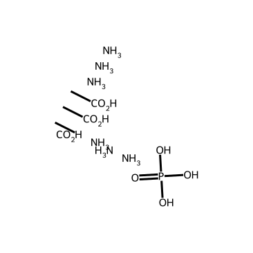 CC(=O)O.CC(=O)O.CC(=O)O.N.N.N.N.N.N.O=P(O)(O)O